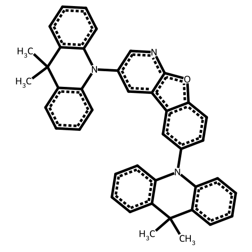 CC1(C)c2ccccc2N(c2ccc3oc4ncc(N5c6ccccc6C(C)(C)c6ccccc65)cc4c3c2)c2ccccc21